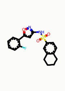 O=S(=O)(Nc1cc(-c2ccccc2F)on1)c1ccc2c(c1)CCCC2